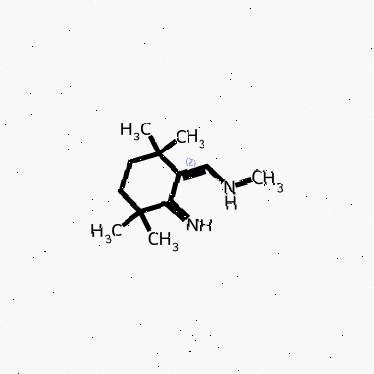 CN/C=C1\C(=N)C(C)(C)CCC1(C)C